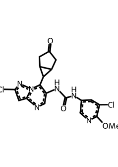 COc1ncc(NC(=O)Nc2cnc3cc(Cl)nn3c2C2C3CC(=O)CC32)cc1Cl